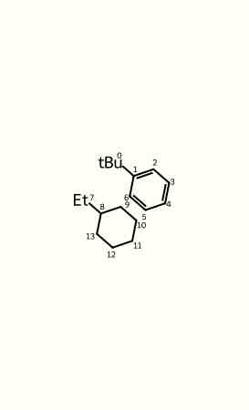 CC(C)(C)c1ccccc1.CCC1CCCCC1